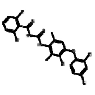 Cc1cc(Oc2ccc(Cl)cc2Cl)c(Cl)c(C)c1NC(=O)NC(=O)c1c(Cl)cccc1Br